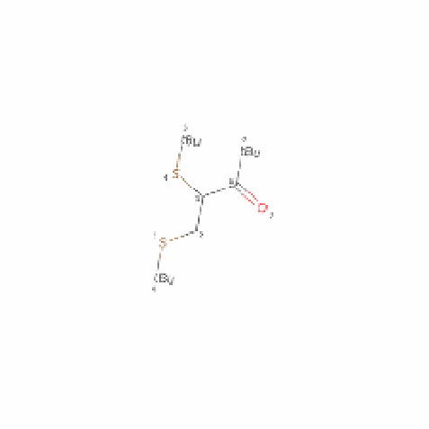 CC(C)(C)SCC(SC(C)(C)C)C(=O)C(C)(C)C